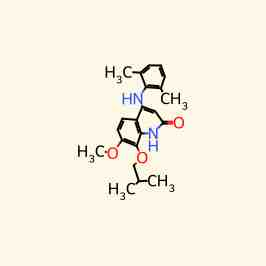 COc1ccc2c(Nc3c(C)cccc3C)cc(=O)[nH]c2c1OCC(C)C